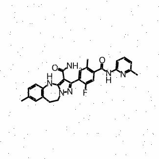 Cc1ccc2c(c1)CCn1nc(-c3cc(C)c(C(=O)Nc4cccc(C)n4)cc3F)c(C(N)=O)c1N2